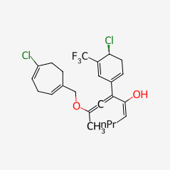 CCC/C=C(/O)C(=C=C(C)OCC1=CCC=C(Cl)CC1)C1=CC[C@H](Cl)C(C(F)(F)F)=C1